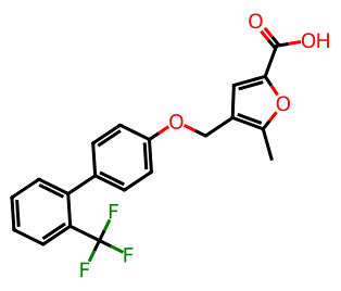 Cc1oc(C(=O)O)cc1COc1ccc(-c2ccccc2C(F)(F)F)cc1